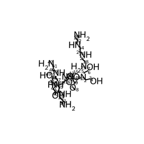 CN(CCO)CCO.COCC(OC)(OC)OC(C)N.NCCNCCNCCN.NCCNCCNCCNCCN.OCCNCCO